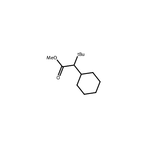 COC(=O)C(C1CCCCC1)C(C)(C)C